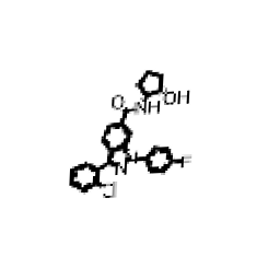 O=C(N[C@H]1CCC[C@H]1O)c1ccc2c(-c3ccccc3Cl)nn(-c3ccc(F)cc3)c2c1